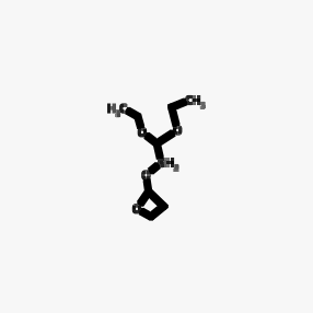 CCOC(OCC)[SiH2]OC1CCO1